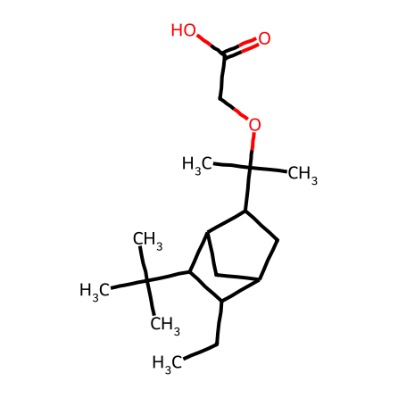 CCC1C2CC(C1C(C)(C)C)C(C(C)(C)OCC(=O)O)C2